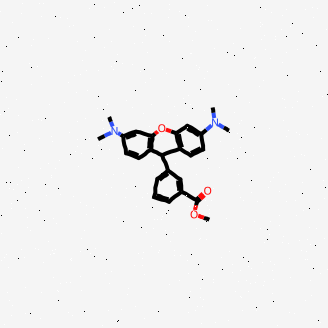 COC(=O)c1cccc(C2c3ccc(N(C)C)cc3Oc3cc(N(C)C)ccc32)c1